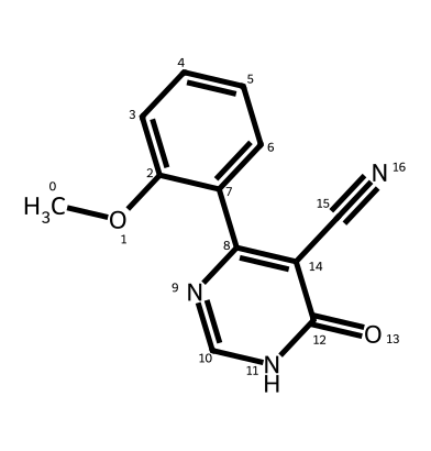 COc1ccccc1-c1nc[nH]c(=O)c1C#N